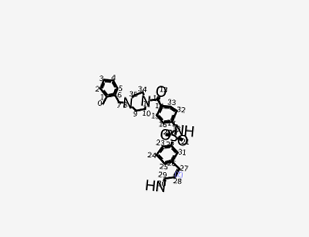 Cc1ccccc1CN1CCN(C(=O)c2ccc(NS(=O)(=O)c3cccc(/C=C\C=N)c3)cc2)CC1